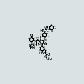 CC(C)(C)OC(=O)c1cc2cc(NC(=O)[C@H](Cc3ccc(NC(O)Oc4ccccc4)cc3)NC(=O)C(=O)Nc3cc(Cl)ccc3-n3cnnn3)ccc2[nH]1